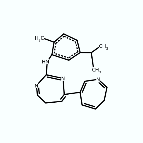 Cc1ccc(C(C)C)cc1NC1=NC(C2=CN=CCC=C2)=CCC=N1